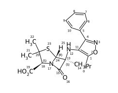 CC(C)c1onc(-c2ccccc2)c1N[C@@]1(C)C(=O)N2[C@@H](C(=O)O)C(C)(C)S[C@@H]21